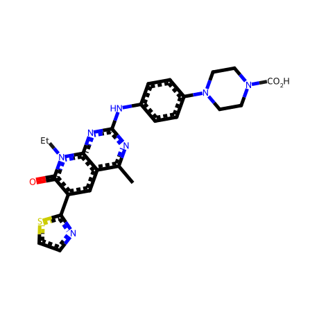 CCn1c(=O)c(-c2nccs2)cc2c(C)nc(Nc3ccc(N4CCN(C(=O)O)CC4)cc3)nc21